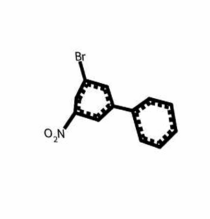 O=[N+]([O-])c1cc(Br)cc(-c2ccccc2)c1